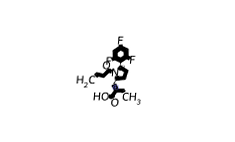 C=CCC(=O)N1[C@@H](/C=C(\CC)C(=O)O)CC[C@H]1c1c(F)cc(F)cc1F